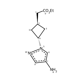 CCOC(=O)C[C@H]1C[C@H](n2cc(N)cn2)C1